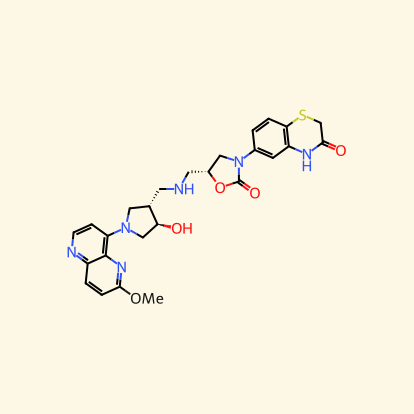 COc1ccc2nccc(N3C[C@H](CNC[C@@H]4CN(c5ccc6c(c5)NC(=O)CS6)C(=O)O4)[C@@H](O)C3)c2n1